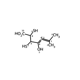 CC(C)=S=C(O)C(S)C(S)C(=O)O